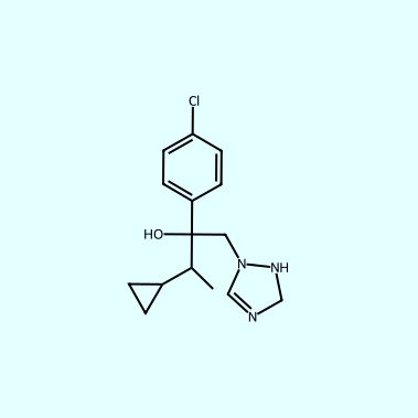 CC(C1CC1)C(O)(CN1C=NCN1)c1ccc(Cl)cc1